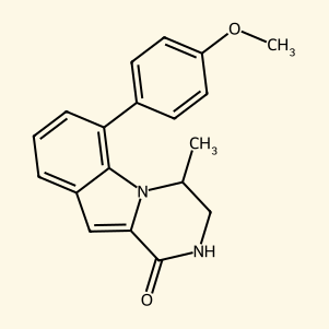 COc1ccc(-c2cccc3cc4n(c23)C(C)CNC4=O)cc1